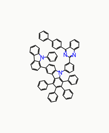 c1ccc(-c2ccc(-c3nc(-c4cccc(-n5c6ccc(-c7cccc8c9ccccc9n(-c9ccccc9)c78)cc6c6c(-c7ccccc7)c(-c7ccccc7)c(-c7ccccc7)c(-c7ccccc7)c65)c4)nc4ccccc34)cc2)cc1